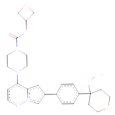 COC1(c2ccc(-c3cc4c(N5CCN(C(=O)OC6COC6)CC5)ccnn4c3)cc2)CCOCC1